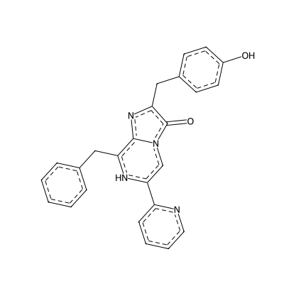 O=c1c(Cc2ccc(O)cc2)nc2c(Cc3ccccc3)[nH]c(-c3ccccn3)cn1-2